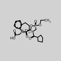 CCOP(=O)(CN(C(=O)C1CCCC1)[C@H]1CCc2ccccc2N(CC(=O)O)C1=O)OCC